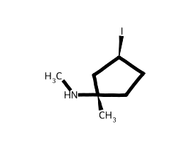 CN[C@@]1(C)CC[C@H](I)C1